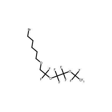 FC(F)(COCCCCCBr)OC(F)(F)C(F)(F)OC(F)(F)C(F)(F)F